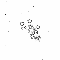 CN(C)c1ncnc2c1c1ncccc1n2[C@@H]1O[C@H](COC(=O)c2ccccc2)[C@@H](OC(=O)c2ccccc2)[C@H]1OC(=O)c1ccccc1